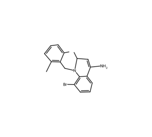 Cc1cccc(C)c1CN1c2c(Br)cccc2C(N)=CC1C